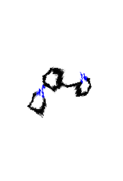 c1ccc(-c2cccc(N3CCCC3)c2)nc1